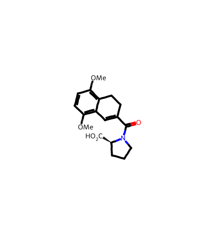 COc1ccc(OC)c2c1C=C(C(=O)N1CCC[C@H]1C(=O)O)CC2